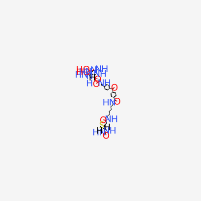 N=C1N[C@H]2C(COC(=O)NCc3ccc(C(=O)c4ccc(C(=O)NCCCCCCNC(=O)CC5SC[C@@H]6NC(=O)N[C@H]56)cc4)cc3)NC(=N)N3CCC(O)(O)C23N1